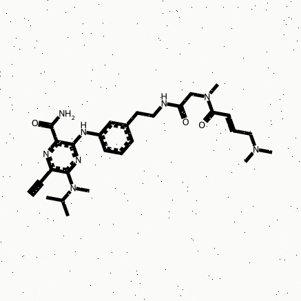 C#Cc1nc(C(N)=O)c(Nc2cccc(CCNC(=O)CN(C)C(=O)/C=C/CN(C)C)c2)nc1N(C)C(C)C